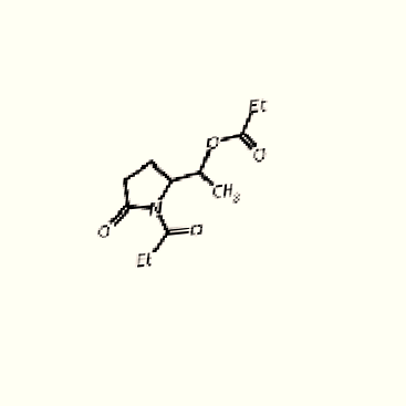 CCC(=O)OC(C)C1CCC(=O)N1C(=O)CC